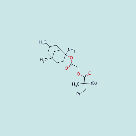 CC(C)CC(C)(C(=O)OCC(=O)OC1(C)CCC2(C)CC(C)CC1C2)C(C)(C)C